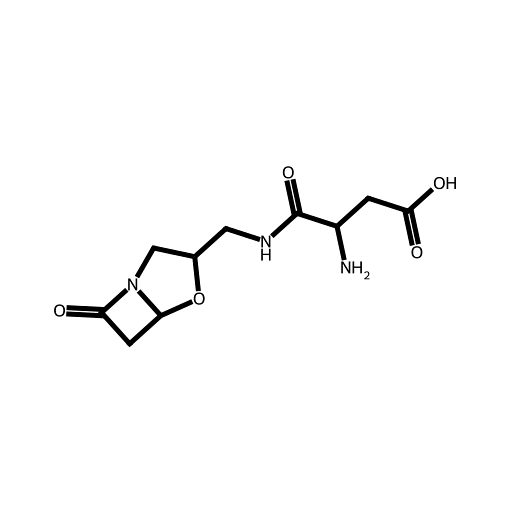 NC(CC(=O)O)C(=O)NCC1CN2C(=O)CC2O1